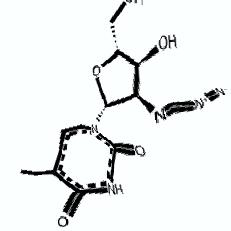 Cc1cn([C@@H]2O[C@H](CO)[C@@H](O)[C@H]2N=[N+]=[N-])c(=O)[nH]c1=O